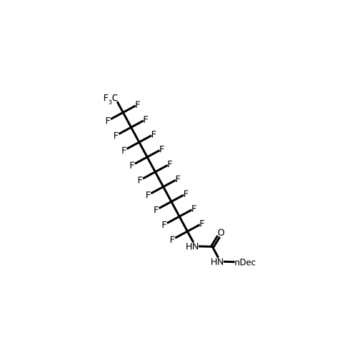 CCCCCCCCCCNC(=O)NC(F)(F)C(F)(F)C(F)(F)C(F)(F)C(F)(F)C(F)(F)C(F)(F)C(F)(F)C(F)(F)C(F)(F)F